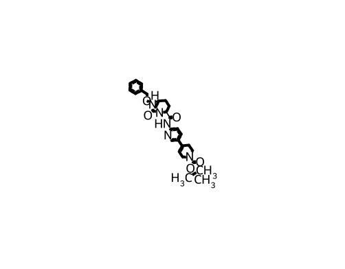 CC(C)(C)OC(=O)N1CC=C(c2ccc(NC(=O)[C@@H]3CC[C@@H]4CN3C(=O)N4OCc3ccccc3)nc2)CC1